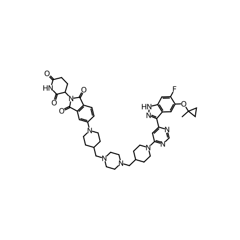 CC1(Oc2cc3c(-c4cc(N5CCC(CN6CCN(CC7CCN(c8ccc9c(c8)C(=O)N(C8CCC(=O)NC8=O)C9=O)CC7)CC6)CC5)ncn4)n[nH]c3cc2F)CC1